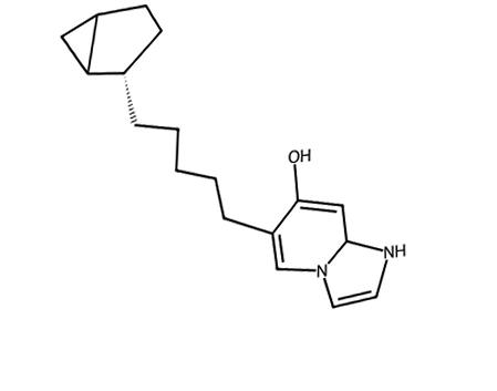 OC1=CC2NC=CN2C=C1CCCCC[C@H]1CCC2CC21